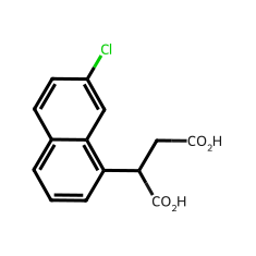 O=C(O)CC(C(=O)O)c1cccc2ccc(Cl)cc12